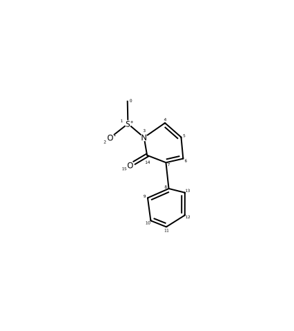 C[S+]([O-])n1cccc(-c2ccccc2)c1=O